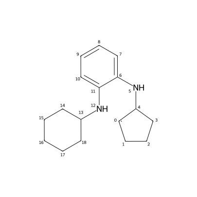 [CH]1CCCC1Nc1ccccc1NC1CCCCC1